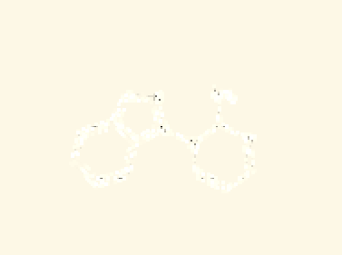 NC1N=CC=CN1n1ncc2ccccc21